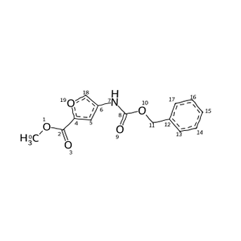 COC(=O)c1cc(NC(=O)OCc2ccccc2)co1